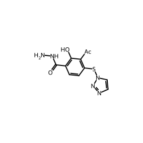 CC(=O)c1c(Sn2ccnn2)ccc(C(=O)NN)c1O